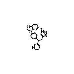 c1cncc(C(Cc2cn(Cc3ccc4c(c3)OCO4)nn2)c2cccnc2)c1